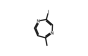 CC1=NC=C(I)N=C=C1